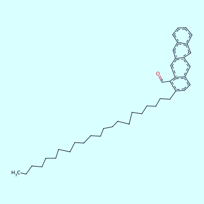 CCCCCCCCCCCCCCCCCCCCCCc1ccc2cc3cc4ccccc4cc3cc2c1C=O